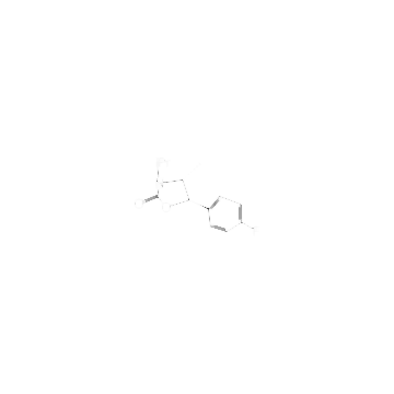 CC(C)N1C(=O)O[C@H](c2ccc(F)cc2)[C@H]1C